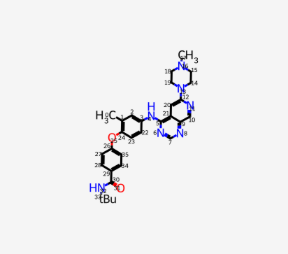 Cc1cc(Nc2ncnc3cnc(N4CCN(C)CC4)cc23)ccc1Oc1ccc(C(=O)NC(C)(C)C)cc1